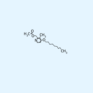 CCCCCCCCCOc1ccnc(COC(C)=O)c1C